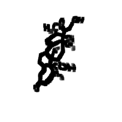 C[C@@H]1CC2C3CCC4=CC(=O)C=CC4(C)[C@@]3(F)[C@@H](O)CC2(C)C1(O)C(=O)CO